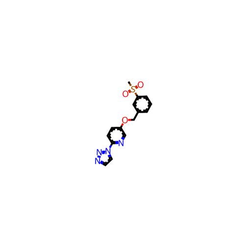 CS(=O)(=O)c1cccc(COc2ccc(-n3ccnn3)nc2)c1